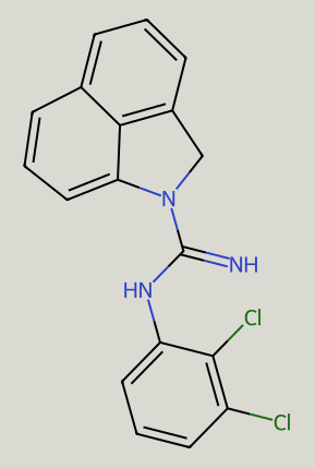 N=C(Nc1cccc(Cl)c1Cl)N1Cc2cccc3cccc1c23